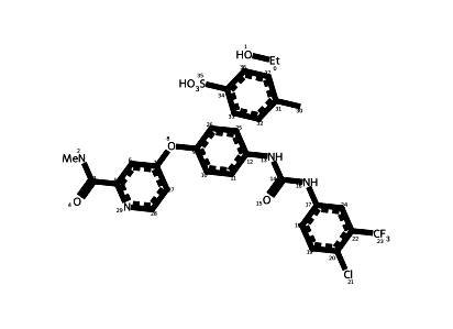 CCO.CNC(=O)c1cc(Oc2ccc(NC(=O)Nc3ccc(Cl)c(C(F)(F)F)c3)cc2)ccn1.Cc1ccc(S(=O)(=O)O)cc1